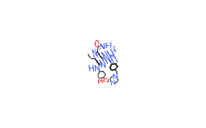 CCc1nc(C(N)=O)c(Nc2ccc(CN3CCN(C)CC3)cc2)nc1N[C@H]1CC[C@H](O)CC1